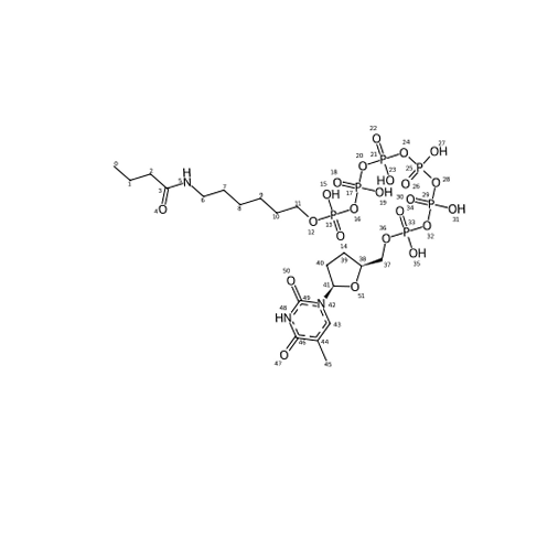 CCCC(=O)NCCCCCCOP(=O)(O)OP(=O)(O)OP(=O)(O)OP(=O)(O)OP(=O)(O)OP(=O)(O)OC[C@@H]1CC[C@H](n2cc(C)c(=O)[nH]c2=O)O1